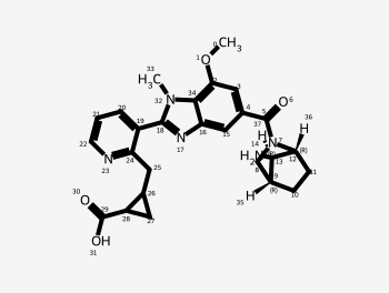 COc1cc(C(=O)N2C[C@H]3CC[C@@H]2[C@@H]3N)cc2nc(-c3cccnc3CC3CC3C(=O)O)n(C)c12